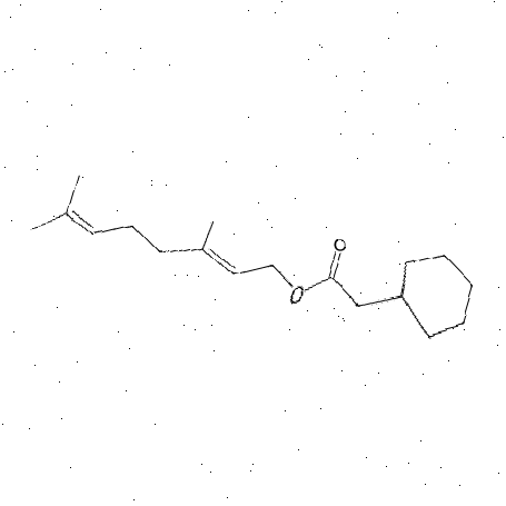 CC(C)=CCC/C(C)=C/COC(=O)CC1CCCCC1